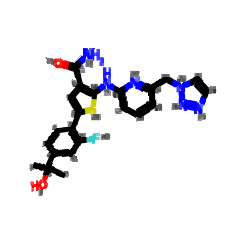 CC(C)(O)c1ccc(-c2cc(C(N)=O)c(Nc3cccc(Cn4ccnn4)n3)s2)c(F)c1